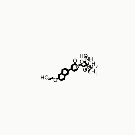 C[C@@](CCn1ccc(-c2ccc3cc(OCCO)ccc3c2)cc1=O)(C(=O)NO)S(C)(=O)=O